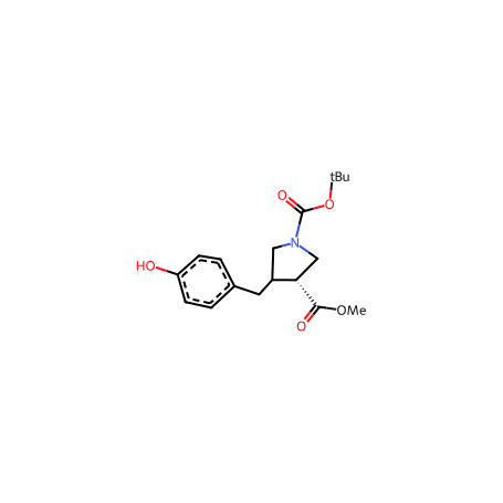 COC(=O)[C@H]1CN(C(=O)OC(C)(C)C)CC1Cc1ccc(O)cc1